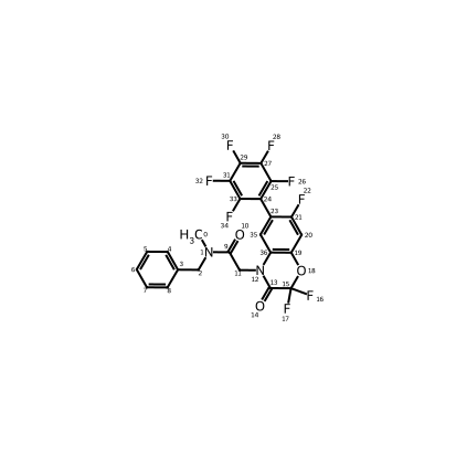 CN(Cc1ccccc1)C(=O)CN1C(=O)C(F)(F)Oc2cc(F)c(-c3c(F)c(F)c(F)c(F)c3F)cc21